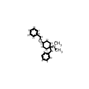 CN(C)C1(Cc2ccccc2)CCC(OCc2ccccc2)CC1